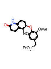 CCOC(=O)Cc1ccc(Oc2ccc3[nH]c(=O)ccc3c2N=O)c(OC)c1